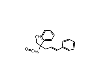 CCC(C/C=C/c1ccccc1)(N=C=O)c1ccccc1